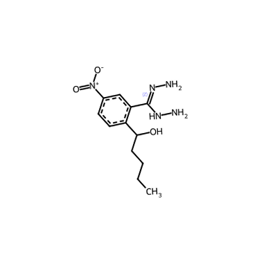 CCCCC(O)c1ccc([N+](=O)[O-])cc1/C(=N/N)NN